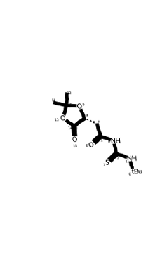 CC(C)(C)NC(=S)NC(=O)C[C@H]1OC(C)(C)OC1=O